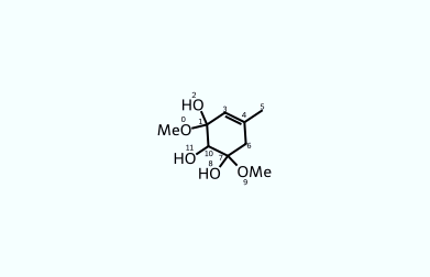 COC1(O)C=C(C)CC(O)(OC)C1O